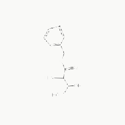 NC(C(=O)OCc1ccccc1)C(O)C(=O)O